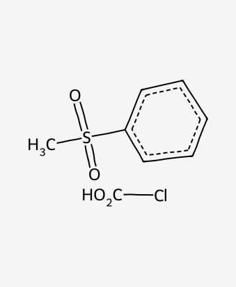 CS(=O)(=O)c1ccccc1.O=C(O)Cl